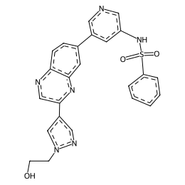 O=S(=O)(Nc1cncc(-c2ccc3ncc(-c4cnn(CCO)c4)nc3c2)c1)c1ccccc1